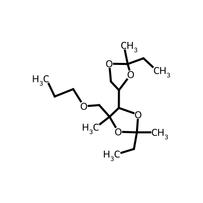 CCCOCC1(C)OC(C)(CC)OC1C1COC(C)(CC)O1